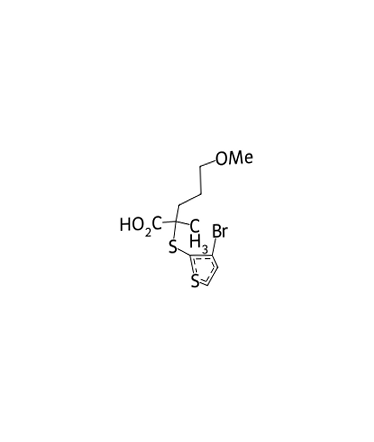 COCCCC(C)(Sc1sccc1Br)C(=O)O